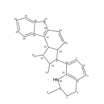 CC1CCc2cccc(C3C(C)C(C)C4c5c(sc6ccccc56)C=CC34)c2N1